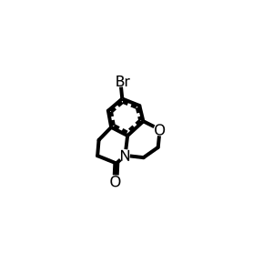 O=C1CCc2cc(Br)cc3c2N1CCO3